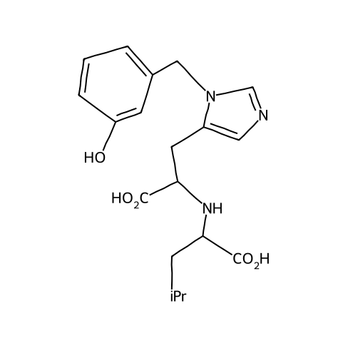 CC(C)CC(NC(Cc1cncn1Cc1cccc(O)c1)C(=O)O)C(=O)O